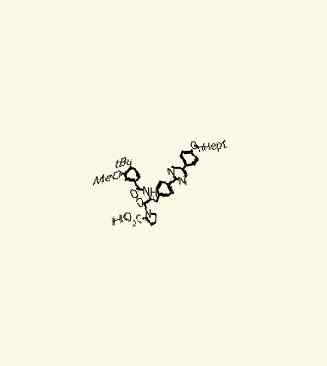 CCCCCCCOc1ccc(-c2cnc(-c3ccc(C[C@H](NC(=O)c4ccc(C(C)(C)C)c(OC)c4)C(=O)N4CCC[C@H]4C(=O)O)cc3)nc2)cc1